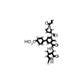 C=CC(=O)N1CCC(N(CC)c2cc(-c3ccc(C(=O)O)cc3)cc(C(=O)NCc3c(C)cc(C)[nH]c3=O)c2C)C1